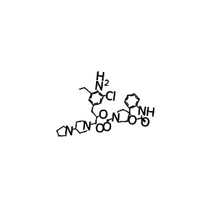 CCc1cc(C[C@@H](OC(=O)N2CCC3(CC2)OC(=O)Nc2ccccc23)C(=O)N2CCC(N3CCCC3)CC2)cc(Cl)c1N